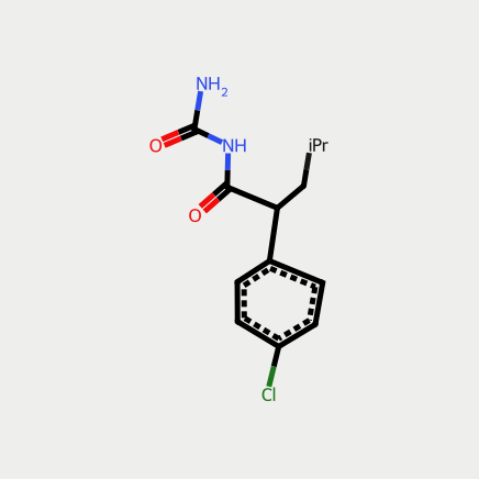 CC(C)CC(C(=O)NC(N)=O)c1ccc(Cl)cc1